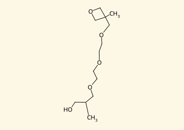 CC(CO)COCCOCCOCC1(C)COC1